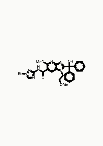 CCn1cnc(NC(=O)c2cc3c(nc2OC)nc(C(O)(c2ccccc2)c2ccccc2)n3CCOC)n1